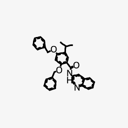 CC(C)c1cc(C(=O)Nc2cnc3ccccc3c2)c(OCc2ccccc2)cc1OCc1ccccc1